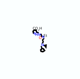 CCN(CCCCN(Cc1ccccc1)C1CC1)C(=O)CNCc1cc(C(=O)O)ccn1